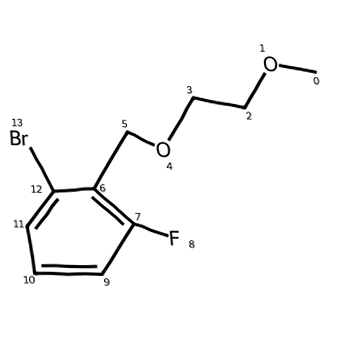 COCCOCc1c(F)cccc1Br